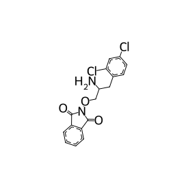 NC(CON1C(=O)c2ccccc2C1=O)Cc1ccc(Cl)cc1Cl